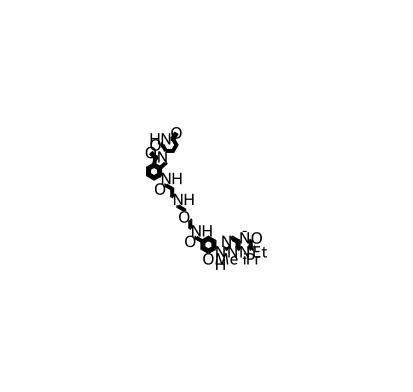 CC[C@@H]1C(=O)N(C)c2cnc(Nc3ccc(C(=O)NCCOCCNCCC(=O)Nc4cccc5c4CN(C4CCC(=O)NC4=O)C5=O)cc3OC)nc2N1C(C)C